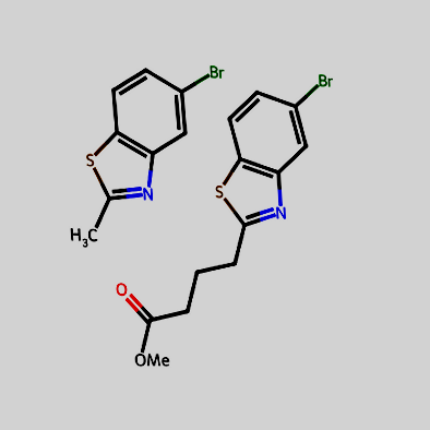 COC(=O)CCCc1nc2cc(Br)ccc2s1.Cc1nc2cc(Br)ccc2s1